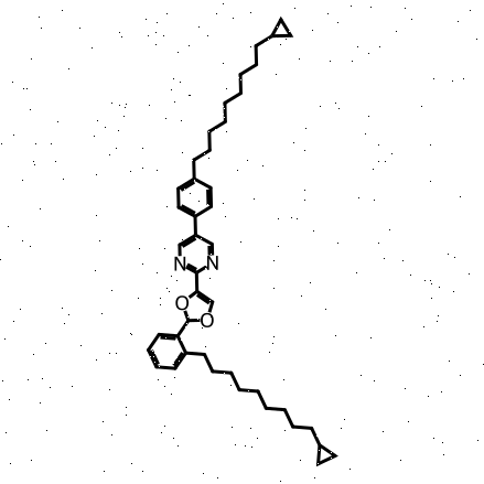 C1=C(c2ncc(-c3ccc(CCCCCCCCCC4CC4)cc3)cn2)OC(c2ccccc2CCCCCCCCCC2CC2)O1